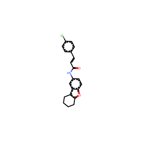 O=C(C=Cc1ccc(Cl)cc1)Nc1ccc2oc3c(c2c1)CCCC3